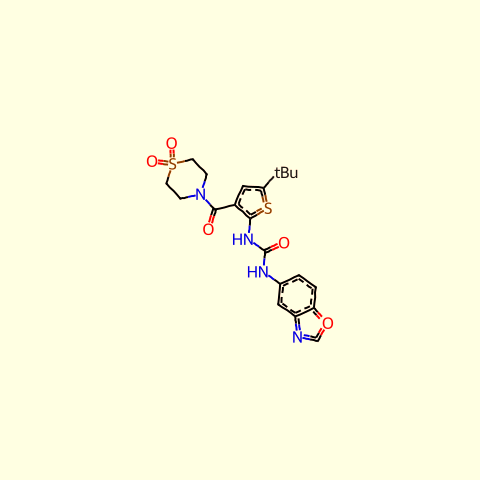 CC(C)(C)c1cc(C(=O)N2CCS(=O)(=O)CC2)c(NC(=O)Nc2ccc3ocnc3c2)s1